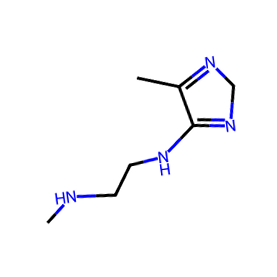 CNCCNC1=NCN=C1C